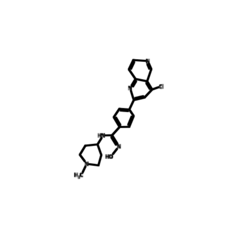 CN1CCC(N/C(=N\O)c2ccc(-c3cc(Cl)c4cnccc4n3)cc2)CC1